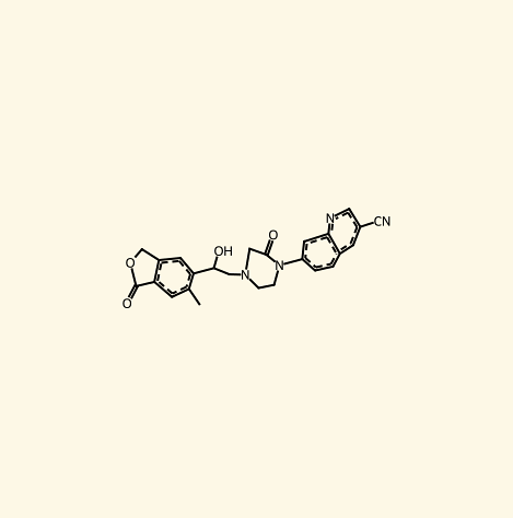 Cc1cc2c(cc1C(O)CN1CCN(c3ccc4cc(C#N)cnc4c3)C(=O)C1)COC2=O